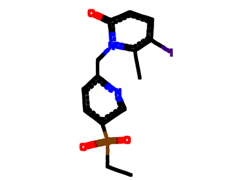 CCS(=O)(=O)c1ccc(Cn2c(C)c(I)ccc2=O)nc1